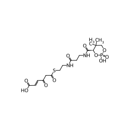 CC1(C)COP(=O)(O)O[C@H]1C(=O)NCCC(=O)NCCSC(=O)CC(=O)/C=C/C(=O)O